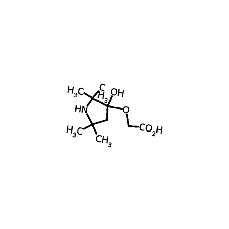 CC1(C)CC(O)(OCC(=O)O)C(C)(C)N1